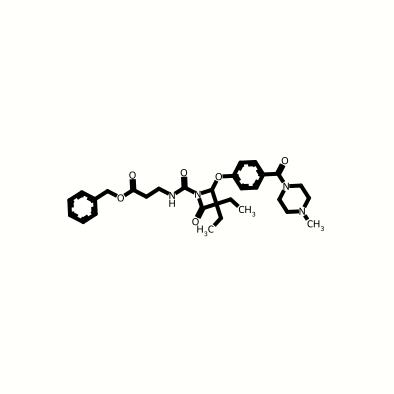 CCC1(CC)C(=O)N(C(=O)NCCC(=O)OCc2ccccc2)C1Oc1ccc(C(=O)N2CCN(C)CC2)cc1